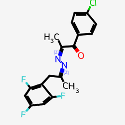 C/C(Cc1c(F)cc(F)cc1F)=N/N=C(/C)C(=O)c1ccc(Cl)cc1